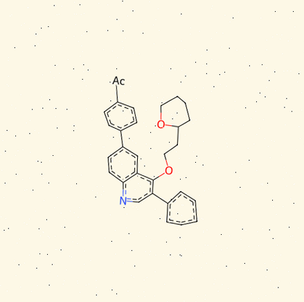 CC(=O)c1ccc(-c2ccc3ncc(-c4ccccc4)c(OCCC4CCCCO4)c3c2)cc1